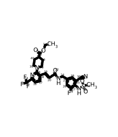 CCOC(=O)C1CCN(c2nc(C(F)(F)F)ccc2/C=C/C(=O)NCc2cc(F)c(NS(C)(=O)=O)c(C#N)c2)CC1